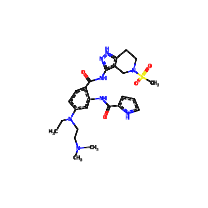 CCN(CCN(C)C)c1ccc(C(=O)Nc2n[nH]c3c2CN(S(C)(=O)=O)CC3)c(NC(=O)c2ccc[nH]2)c1